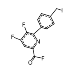 O=C(F)c1cc(F)c(F)c(-c2ccc(CI)cc2)n1